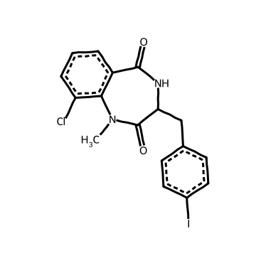 CN1C(=O)C(Cc2ccc(I)cc2)NC(=O)c2cccc(Cl)c21